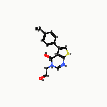 Cc1ccc(-c2csc3ncn(CC=O)c(=O)c23)cc1